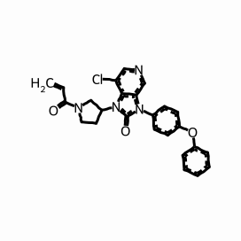 C=CC(=O)N1CCC(n2c(=O)n(-c3ccc(Oc4ccccc4)cc3)c3cncc(Cl)c32)C1